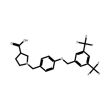 O=C(O)C1CCN(Cc2ccc(OCc3cc(C(F)(F)F)cc(C(F)(F)F)c3)cc2)C1